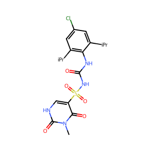 CC(C)c1cc(Cl)cc(C(C)C)c1NC(=O)NS(=O)(=O)c1c[nH]c(=O)n(C)c1=O